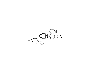 C[C@@H]1CN(c2ccc(C#N)c3ncccc23)C[C@H](C(=O)N2CCNCC2)O1